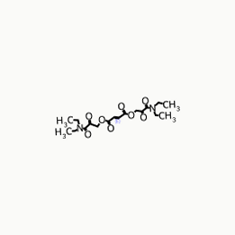 CCN(CC)C(=O)C(=O)COC(=O)/C=C/C(=O)OCC(=O)C(=O)N(CC)CC